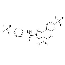 COC(=O)C12COc3cc(C(F)(F)F)ccc3C1=NN(C(=O)Nc1ccc(OC(F)(F)F)cc1)C2